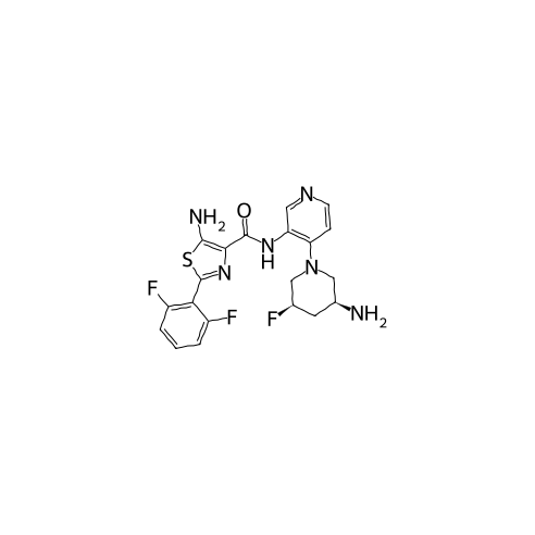 Nc1sc(-c2c(F)cccc2F)nc1C(=O)Nc1cnccc1N1C[C@@H](N)C[C@@H](F)C1